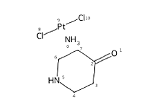 N.O=C1CCNCC1.[Cl][Pt][Cl]